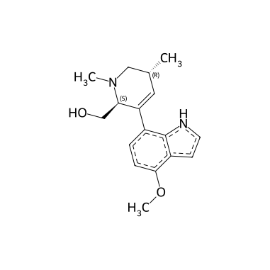 COc1ccc(C2=C[C@@H](C)CN(C)[C@@H]2CO)c2[nH]ccc12